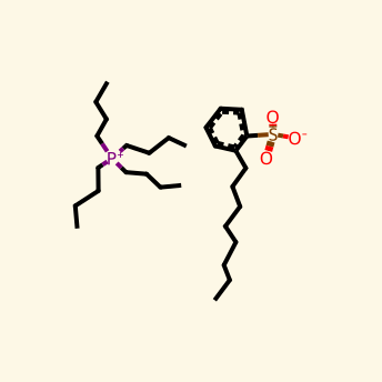 CCCCCCCCc1ccccc1S(=O)(=O)[O-].CCCC[P+](CCCC)(CCCC)CCCC